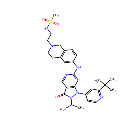 CC(C)n1c(=O)c2cnc(Nc3ccc4c(c3)CCN(CCNS(C)(=O)=O)C4)nc2n1-c1ccnc(C(C)(C)C)c1